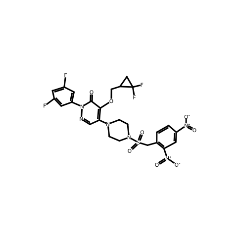 O=c1c(OCC2CC2(F)F)c(N2CCN(S(=O)(=O)Cc3ccc([N+](=O)[O-])cc3[N+](=O)[O-])CC2)cnn1-c1cc(F)cc(F)c1